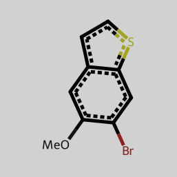 COc1cc2ccsc2cc1Br